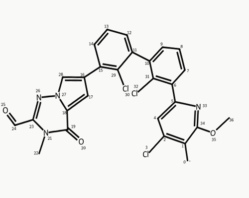 [CH2]c1c(Cl)cc(-c2cccc(-c3cccc(-c4cc5c(=O)n(C)c(C=O)nn5c4)c3Cl)c2Cl)nc1OC